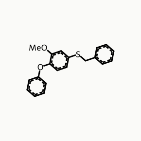 COc1cc(SCc2ccccc2)ccc1Oc1ccccc1